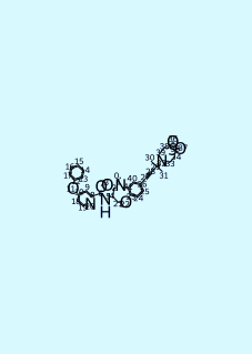 CN1C(=O)[C@@H](NC(=O)c2cc(Oc3ccccc3)ccn2)COc2ccc(C#CC(C)(C)N3CCS(=O)(=O)CC3)cc21